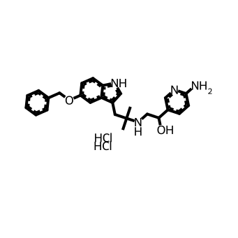 CC(C)(Cc1c[nH]c2ccc(OCc3ccccc3)cc12)NCC(O)c1ccc(N)nc1.Cl.Cl